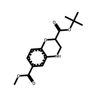 COC(=O)c1ccc2c(c1)NCC(C(=O)OC(C)(C)C)O2